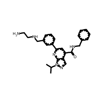 CC(C)n1ncc2c(C(=O)NCc3ccccc3)cc(-c3cccc(CNCCN)c3)nc21